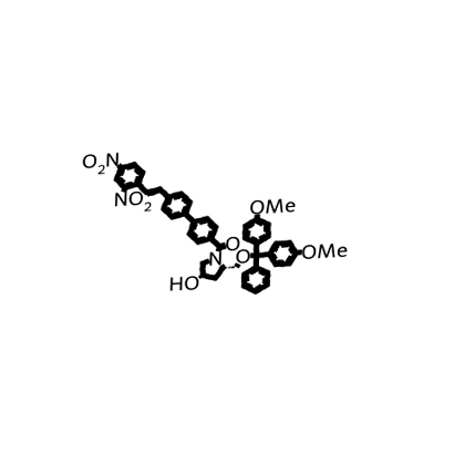 COc1ccc(C(OC[C@@H]2C[C@@H](O)CN2C(=O)c2ccc(-c3ccc(/C=C/c4ccc([N+](=O)[O-])cc4[N+](=O)[O-])cc3)cc2)(c2ccccc2)c2ccc(OC)cc2)cc1